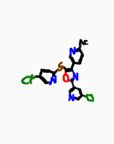 CC(=O)c1ccc(-c2nc(-c3cncc(Cl)c3)oc2Sc2ccc(Cl)cn2)cn1